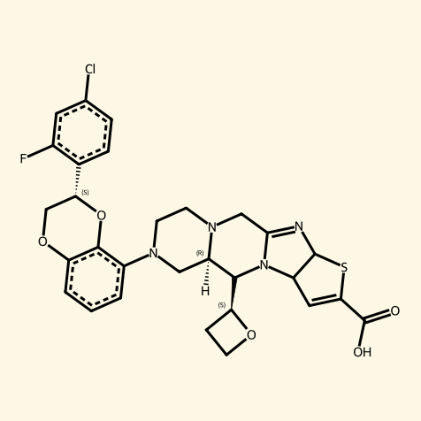 O=C(O)C1=CC2C(N=C3CN4CCN(c5cccc6c5O[C@@H](c5ccc(Cl)cc5F)CO6)C[C@@H]4C([C@@H]4CCO4)N32)S1